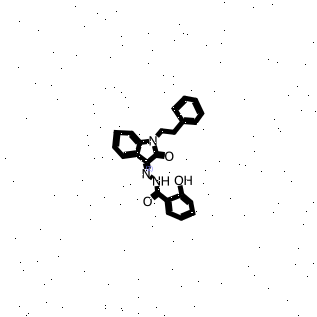 O=C(N/N=C1\C(=O)N(CCc2ccccc2)c2ccccc21)c1ccccc1O